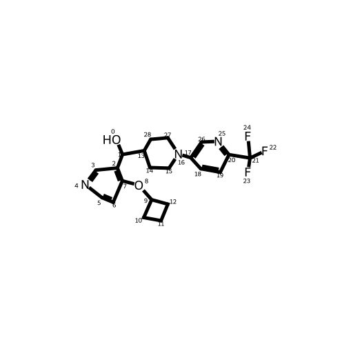 OC(c1cnccc1OC1CCC1)C1CCN(c2ccc(C(F)(F)F)nc2)CC1